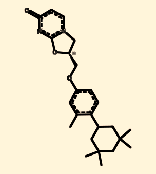 Cc1cc(OC[C@@H]2Cn3ccc(=O)nc3O2)ccc1C1CC(C)(C)CC(C)(C)C1